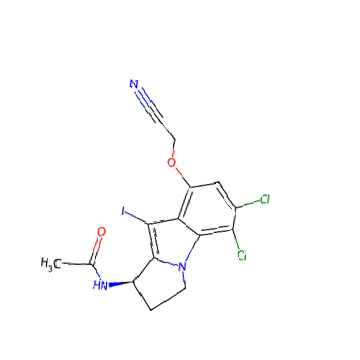 CC(=O)N[C@@H]1CCn2c1c(I)c1c(OCC#N)cc(Cl)c(Cl)c12